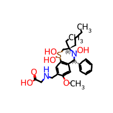 CCCC[C@]1(CC)CS(O)(O)c2cc(CNCC(=O)O)c(OC)cc2[C@@H](c2ccccc2)N1O